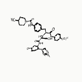 N#CC1CCN(C(=O)Nc2ccc(C[C@H](NC(=O)C(=O)Nc3cc(Cl)ccc3-n3cnnn3)C(=O)Nc3ccc(C(=O)O)cc3)cc2)CC1